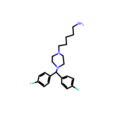 NCCCCCN1CCN(C(c2ccc(F)cc2)c2ccc(F)cc2)CC1